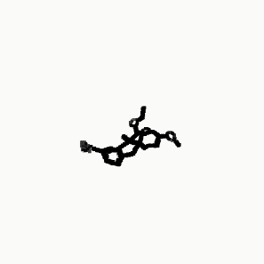 CCOC(=O)C1(C)c2cc(Br)ccc2CC12CCC(OC)CC2